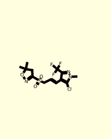 Cn1nc(C(F)(F)F)c(/C=C/CS(=O)(=O)C2=NOC(C)(C)C2)c1Cl